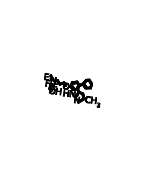 CCN(CCCOc1ccc(C2=CCCCC2)c2c1NC1=NCC(C)CC12)C(F)(F)CO